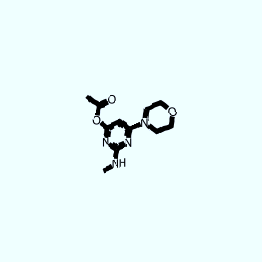 CNc1nc(OC(C)=O)cc(N2CCOCC2)n1